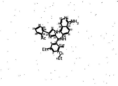 CCOc1cc(CC)cc(C(Nc2ccc3c(N)nccc3c2)c2nc(-c3ccccc3C(C)=O)c[nH]2)c1F